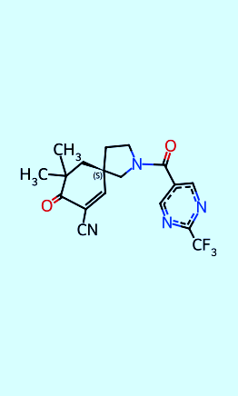 CC1(C)C[C@@]2(C=C(C#N)C1=O)CCN(C(=O)c1cnc(C(F)(F)F)nc1)C2